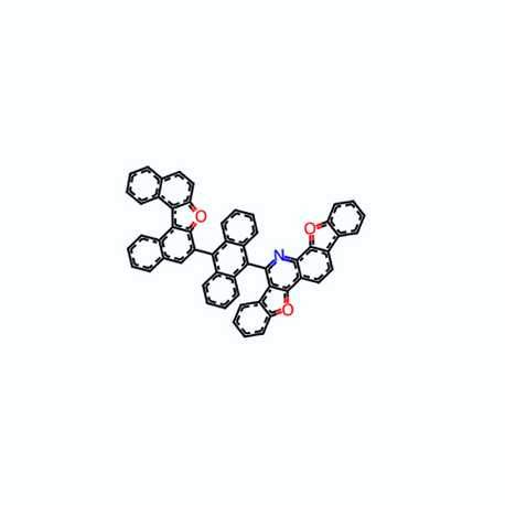 c1ccc2c(c1)ccc1oc3c(-c4c5ccccc5c(-c5nc6c(ccc7c8ccccc8oc76)c6oc7ccccc7c56)c5ccccc45)cc4ccccc4c3c12